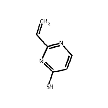 C=Cc1nccc(S)n1